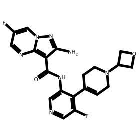 Nc1nn2cc(F)cnc2c1C(=O)Nc1cncc(F)c1C1=CCN(C2COC2)CC1